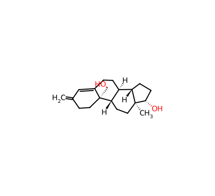 C=C1C=C2CC[C@@H]3[C@H](CC[C@]4(C)[C@@H](O)CC[C@@H]34)[C@@]2(CO)CC1